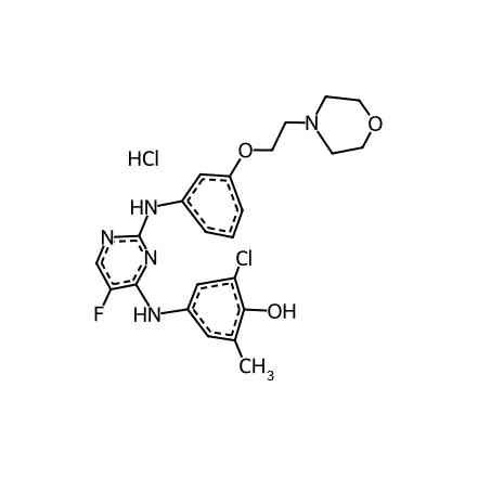 Cc1cc(Nc2nc(Nc3cccc(OCCN4CCOCC4)c3)ncc2F)cc(Cl)c1O.Cl